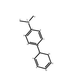 CN(C)c1ccc(C2C=CC=CC2)cc1